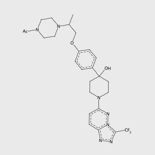 CC(=O)N1CCN(C(C)COc2ccc(C3(O)CCN(c4ccc5nnc(C(F)(F)F)n5n4)CC3)cc2)CC1